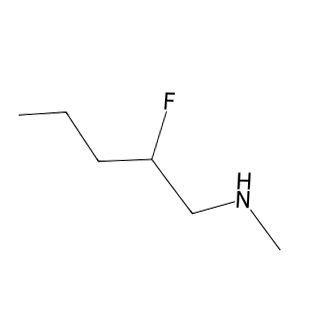 CCCC(F)CNC